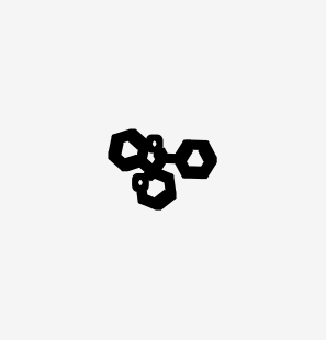 O=C(c1ccccc1)C1(c2ccccc2)CC=CCO1